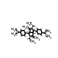 C=c1c2c(-c3ccc(N(C)C)cc3)n(CC)c(=C)c2c(-c2ccc(N(C)C)cc2)n1CC